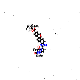 COC(=O)N[C@H](C(=O)N1CCC[C@H]1c1nc2c([nH]1)CCc1c-2ccc2c1OCc1cc(B3OC(C)(C)C(C)(C)O3)ccc1-2)C(C)C